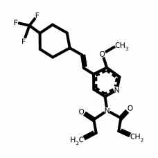 C=CC(=O)N(C(=O)C=C)c1cc(/C=C/C2CCC(C(F)(F)F)CC2)c(OC)cn1